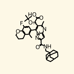 Cc1nc2cc(C(=O)NCC34CC5CC(CC(C5)C3)C4)nn2c(-c2cc(F)c3c(c2C)CCCO3)c1[C@H](OC(C)(C)C)C(=O)O